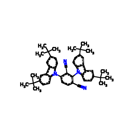 CC(C)(C)c1ccc2c(c1)c1cc(C(C)(C)C)ccc1n2-c1ccc(C#N)c(-n2c3ccc(C(C)(C)C)cc3c3cc(C(C)(C)C)ccc32)c1C#N